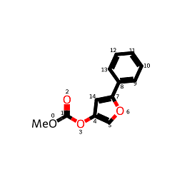 COC(=O)Oc1coc(-c2ccccc2)c1